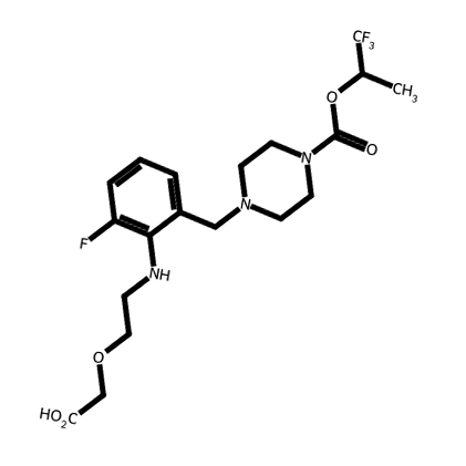 CC(OC(=O)N1CCN(Cc2cccc(F)c2NCCOCC(=O)O)CC1)C(F)(F)F